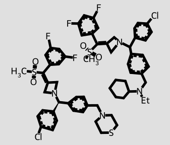 CCN(Cc1ccc(C(c2ccc(Cl)cc2)N2CC(=C(c3cc(F)cc(F)c3)S(C)(=O)=O)C2)cc1)C1CCCCC1.CS(=O)(=O)C(=C1CN([C@H](c2ccc(Cl)cc2)c2ccc(CN3CCSCC3)cc2)C1)c1cc(F)cc(F)c1